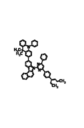 C=C/C=C(\C=C)c1ccc(-c2cc(-c3ccccc3)nc(-n3c4cc(-c5ccc6c(c5)C(C)(C)c5ccccc5N6c5ccccc5)ccc4c4c5ccccc5ccc43)n2)cc1